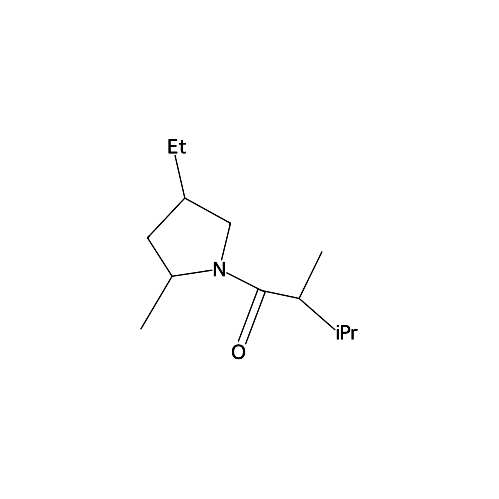 CCC1CC(C)N(C(=O)C(C)C(C)C)C1